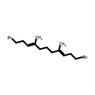 CCC(C)CC/C=C(\C)CCC/C(C)=C/CCC(C)C